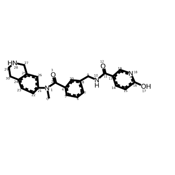 CN(C(=O)c1cccc(CNC(=O)c2ccc(O)nc2)c1)c1ccc2c(c1)CNCC2